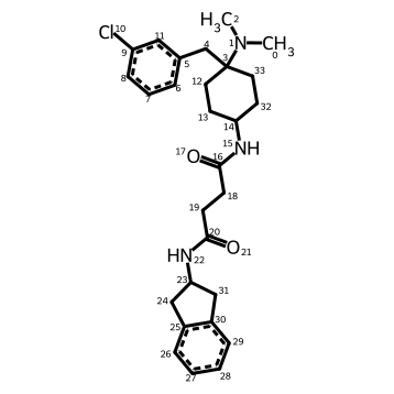 CN(C)C1(Cc2cccc(Cl)c2)CCC(NC(=O)CCC(=O)NC2Cc3ccccc3C2)CC1